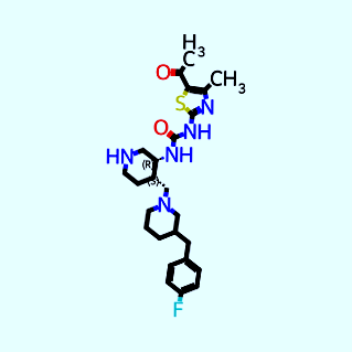 CC(=O)c1sc(NC(=O)N[C@H]2CNCC[C@H]2CN2CCCC(Cc3ccc(F)cc3)C2)nc1C